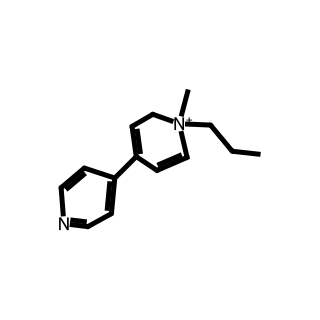 CCC[N+]1(C)C=CC(c2ccncc2)=CC1